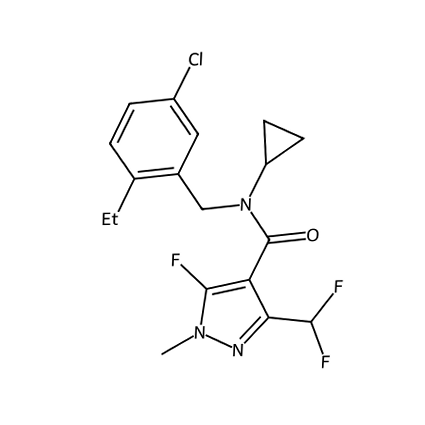 CCc1ccc(Cl)cc1CN(C(=O)c1c(C(F)F)nn(C)c1F)C1CC1